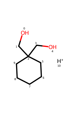 OCC1(CO)CCCCC1.[H+]